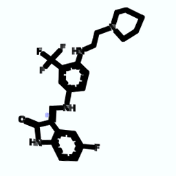 O=C1Nc2ccc(F)cc2/C1=C\Nc1ccc(NCCN2CCCCC2)c(C(F)(F)F)c1